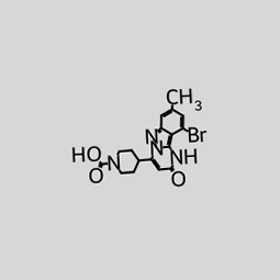 Cc1cc(Br)c2c(c1)nn1c(C3CCN(C(=O)O)CC3)cc(=O)[nH]c21